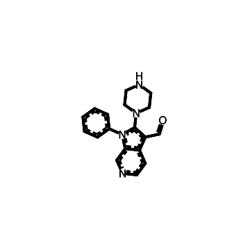 O=Cc1c(N2CCNCC2)n(-c2ccccc2)c2cnccc12